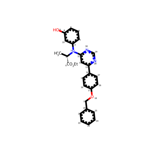 CCOC(=O)[C@H](C)N(c1cccc(O)c1)c1cc(-c2ccc(OCc3ccccc3)cc2)ncn1